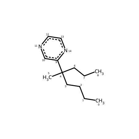 CCCCC(C)(CCC)c1cnccn1